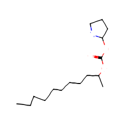 CCCCCCCCCC(C)OC(=O)OC1CCC[N]1